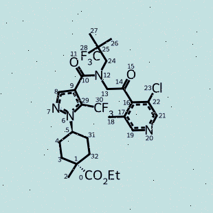 CCOC(=O)[C@]1(C)CC[C@@H](n2ncc(C(=O)N(CC(=O)c3c(C)cncc3Cl)CC(C)(C)C(F)(F)F)c2C(F)(F)F)CC1